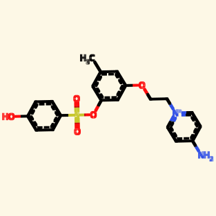 Cc1cc(OCC[n+]2ccc(N)cc2)cc(OS(=O)(=O)c2ccc(O)cc2)c1